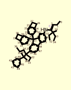 CC/C=C(/Nc1ccc2c(c1)C(c1ccc3c(c1)CC3)(c1ccc3c(c1)CC3)c1cc(C(CC)(CCC)C(C)(C)c3ccccc3)ccc1-2)C(C)(CC)CC